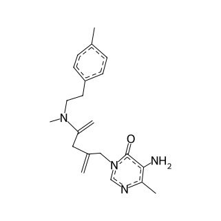 C=C(CC(=C)N(C)CCc1ccc(C)cc1)Cn1cnc(C)c(N)c1=O